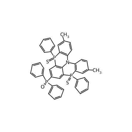 Cc1ccc2c(c1)P(=S)(c1ccccc1)c1cc(P(=O)(c3ccccc3)c3ccccc3)cc3c1N2c1ccc(C)cc1P3(=S)c1ccccc1